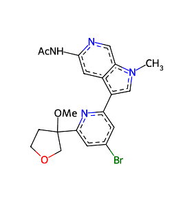 COC1(c2cc(Br)cc(-c3cn(C)c4cnc(NC(C)=O)cc34)n2)CCOC1